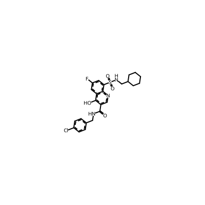 O=C(NCc1ccc(Cl)cc1)c1cnc2c(S(=O)(=O)NCC3CCCCC3)cc(F)cc2c1O